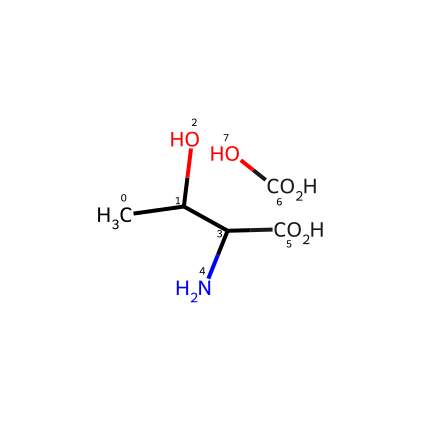 CC(O)C(N)C(=O)O.O=C(O)O